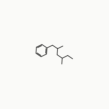 CCC(C)C[C](C)Cc1ccccc1